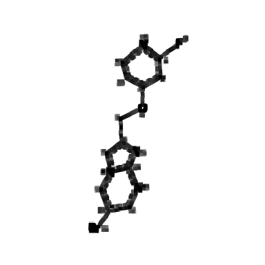 Fc1cc(OCc2cn3cc(Br)cnc3n2)ccn1